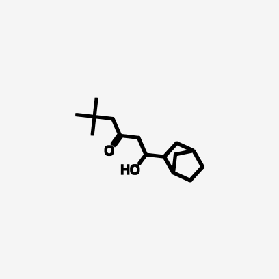 CC(C)(C)CC(=O)CC(O)C1CC2CCC1C2